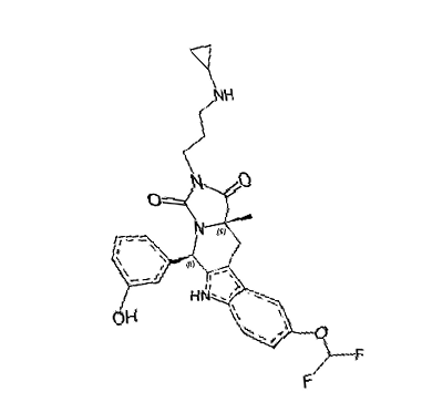 C[C@@]12Cc3c([nH]c4ccc(OC(F)F)cc34)[C@@H](c3cccc(O)c3)N1C(=O)N(CCCNC1CC1)C2=O